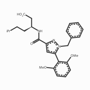 COc1cccc(OC)c1-c1cc(C(=O)N[C@@H](CCC(C)C)CC(=O)O)nn1Cc1ccccc1